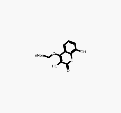 CCCCCCCCCCOc1c(O)c(=O)oc2c(O)cccc12